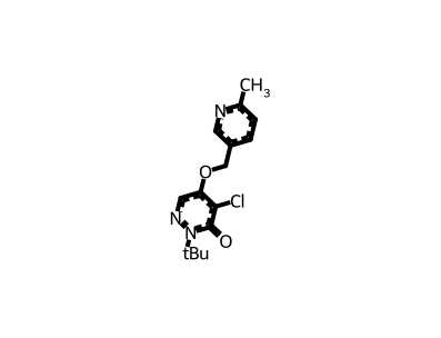 Cc1ccc(COc2cnn(C(C)(C)C)c(=O)c2Cl)cn1